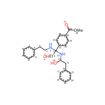 CCC(N[C@H](O)Cc1ccccc1)(N[C@H](O)Cc1ccccc1)c1ccc(C(=O)OC)cc1